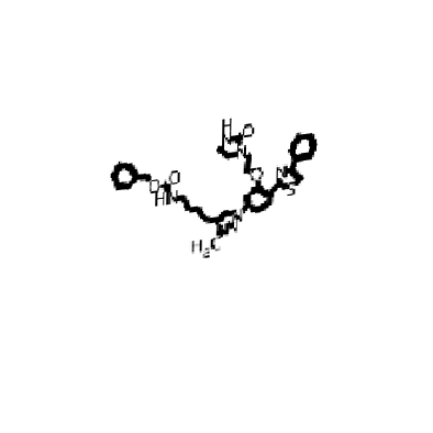 C[n+]1nn(-c2ccc(-c3nc(-c4ccccc4)cs3)c(OCCN3CCNC3=O)c2)cc1CCCCNC(=O)OCc1ccccc1